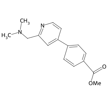 COC(=O)c1ccc(-c2ccnc(CN(C)C)c2)cc1